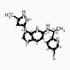 Cc1cc(-n2cnc3ccc(N[C@@H](C)c4ccc(F)cn4)nc32)n[nH]1